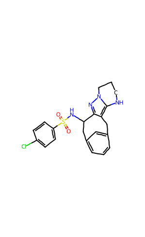 O=S(=O)(NC1Cc2cccc(c2)Cc2c1nn1c2NCCC1)c1ccc(Cl)cc1